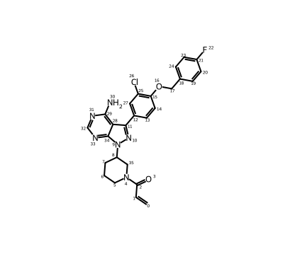 C=CC(=O)N1CCCC(n2nc(-c3ccc(OCc4ccc(F)cc4)c(Cl)c3)c3c(N)ncnc32)C1